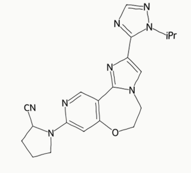 CC(C)n1ncnc1-c1cn2c(n1)-c1cnc(N3CCCC3C#N)cc1OCC2